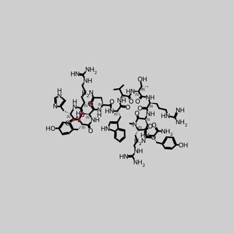 CC(C)C[C@H](NC(=O)[C@H](Cc1ccc(O)cc1)NC(=O)[C@H](Cc1c[nH]cn1)NC(=O)[C@@H](C)CCCNC(=N)N)C(=O)N[C@@H](CC(N)=O)C(=O)N[C@@H](Cc1c[nH]c2ccccc12)C(=O)N[C@H](C(=O)N[C@H](C(=O)N[C@@H](CCCNC(=N)N)C(=O)N[C@@H](CCC(N)=O)C(=O)N(C)[C@@H](CCCNC(=N)N)C(=O)N[C@@H](Cc1ccc(O)cc1)C(N)=O)[C@@H](C)O)C(C)C